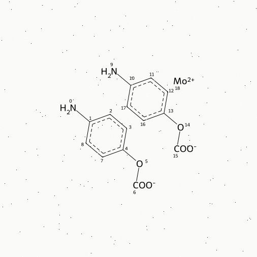 Nc1ccc(OC(=O)[O-])cc1.Nc1ccc(OC(=O)[O-])cc1.[Mo+2]